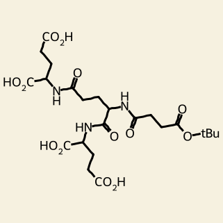 CC(C)(C)OC(=O)CCC(=O)NC(CCC(=O)NC(CCC(=O)O)C(=O)O)C(=O)NC(CCC(=O)O)C(=O)O